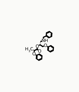 C[C@@H](Oc1ccccc1)C(=O)O[C@H](CNCc1ccccc1)COc1ccccc1